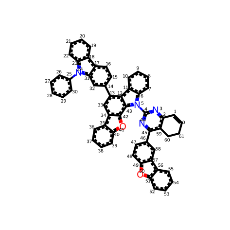 C1=Cc2nc(-n3c4ccccc4c4c(-c5ccc6c7ccccc7n(-c7ccccc7)c6c5)cc5c6ccccc6oc5c43)nc(-c3ccc4oc5ccccc5c4c3)c2CC1